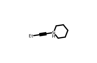 CCC#C[SiH]1CCCCC1